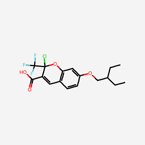 CCC(CC)COc1ccc2c(c1)OC(Cl)(C(F)(F)F)C(C(=O)O)=C2